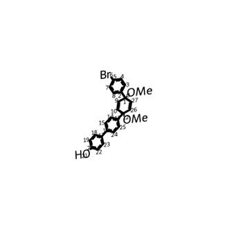 CO[C@]1(c2ccc(Br)cc2)C=C[C@@](OC)(c2ccc(-c3ccc(O)cc3)cc2)C=C1